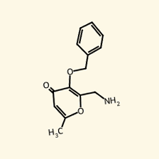 Cc1cc(=O)c(OCc2ccccc2)c(CN)o1